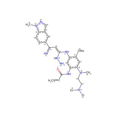 C=CC(=O)Nc1cc(N/C(=C/C(=N)c2ccc3c(cnn3C)c2)NN)c(OC)cc1N(C)CCN(CC)CC